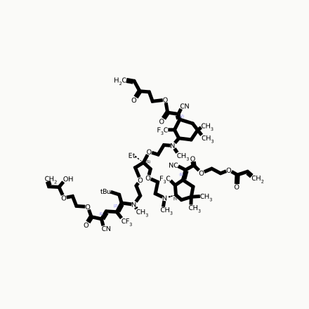 C=CC(=O)CCOC(=O)/C(C#N)=C1/CC(C)(C)CC(N(C)CCO[C@](CC)(COCCN(C)/C(CC(C)(C)C)=C(/C=C(\C#N)C(=O)OCCOC(O)C=C)C(F)(F)F)COCCN(C)[C@H]2CC(C)(C)C/C(=C(/C#N)C(=O)OCCOC(=O)C=C)C2C(F)(F)F)C1C(F)(F)F